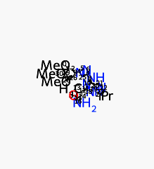 COc1cc(-n2cnc(Nc3nc(C(C)CC(N)=O)nc4c3cnn4C(C)C)c2)cc(OC)c1OC